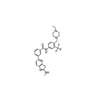 CCN1CCN(Cc2ccc(NC(=O)c3cccc(-c4ccc5nc(NC)sc5n4)c3)cc2C(F)(F)F)CC1